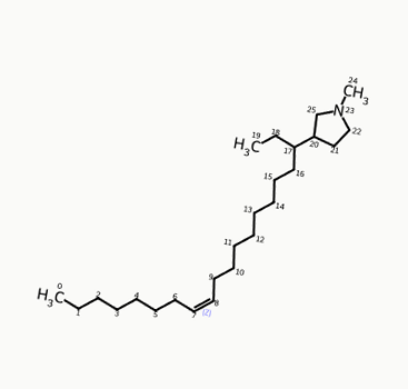 CCCCCCC/C=C\CCCCCCCCC(CC)C1CCN(C)C1